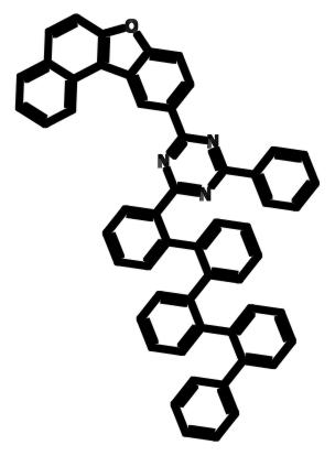 c1ccc(-c2nc(-c3ccc4oc5ccc6ccccc6c5c4c3)nc(-c3ccccc3-c3ccccc3-c3ccccc3-c3ccccc3-c3ccccc3)n2)cc1